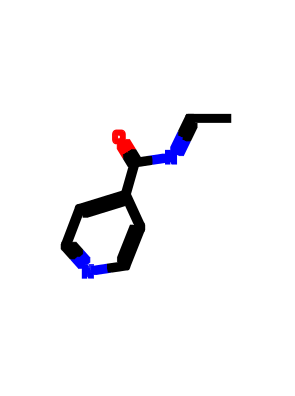 C/C=N/C(=O)c1ccncc1